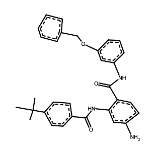 CC(C)(C)c1ccc(C(=O)Nc2cc(N)ccc2C(=O)Nc2cccc(OCc3ccccc3)c2)cc1